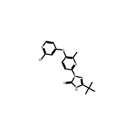 Cc1nc(-n2nc(C(C)(C)C)[nH]c2=O)ccc1Oc1ccnc(Cl)c1